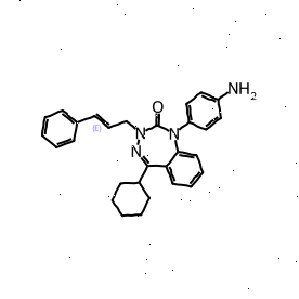 Nc1ccc(N2C(=O)N(C/C=C/c3ccccc3)N=C(C3CCCCC3)c3ccccc32)cc1